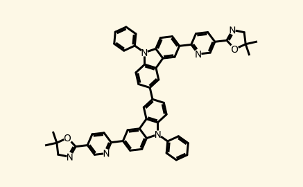 CC1(C)CN=C(c2ccc(-c3ccc4c(c3)c3cc(-c5ccc6c(c5)c5cc(-c7ccc(C8=NCC(C)(C)O8)cn7)ccc5n6-c5ccccc5)ccc3n4-c3ccccc3)nc2)O1